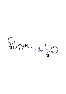 CC(/C=C(\O)c1ccccc1O)=N\CCC/N=C(C)/C=C(\O)c1ccccc1O